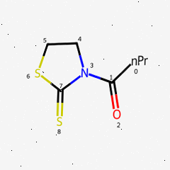 [CH2]CCC(=O)N1CCSC1=S